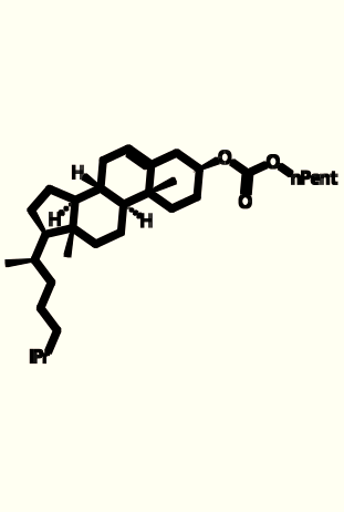 CCCCCOC(=O)O[C@H]1CC[C@@]2(C)C(=CC[C@H]3[C@@H]4CC[C@H]([C@H](C)CCCC(C)C)[C@@]4(C)CC[C@@H]32)C1